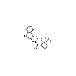 O=C(c1cccc(C(F)(F)F)c1Cl)N1CCN(c2ccccc2Cl)C(=O)C1